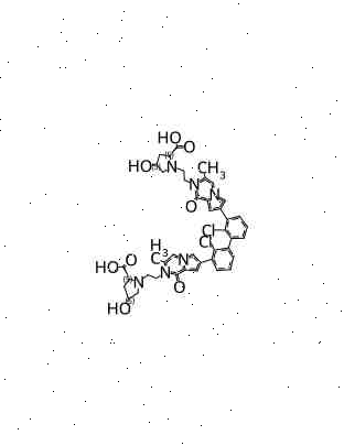 Cc1cn2cc(-c3cccc(-c4cccc(-c5cc6c(=O)n(CCN7C[C@@H](O)C[C@H]7C(=O)O)c(C)cn6c5)c4Cl)c3Cl)cc2c(=O)n1CCN1C[C@@H](O)C[C@H]1C(=O)O